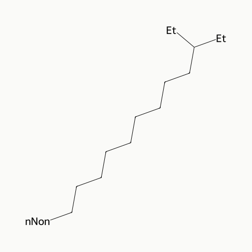 [CH2]CC(CC)CCCCCCCCCCCCCCCCCC